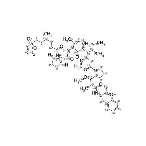 C=CS(=O)(=O)CCN(C)CCC(=O)N1[C@@H]2CC[C@@H](C2)[C@H]1C(=O)NC(C(=O)N(C)C(C(C)CC)C(CC(=O)N1CCC[C@H]1C(OC)C(C)C(=O)NC(Cc1ccccc1)C(=O)O)OC)C(C)C